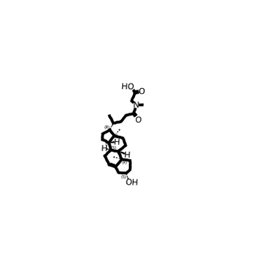 CC(CCC(=O)N(C)CC(=O)O)[C@H]1CC[C@H]2[C@@H]3CC=C4C[C@@H](O)CC[C@]4(C)[C@H]3CC[C@]12C